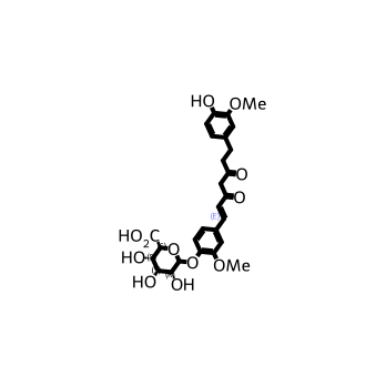 COc1cc(CCC(=O)CC(=O)/C=C/c2ccc(OC3O[C@H](C(=O)O)[C@@H](O)[C@H](O)[C@H]3O)c(OC)c2)ccc1O